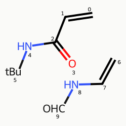 C=CC(=O)NC(C)(C)C.C=CNC=O